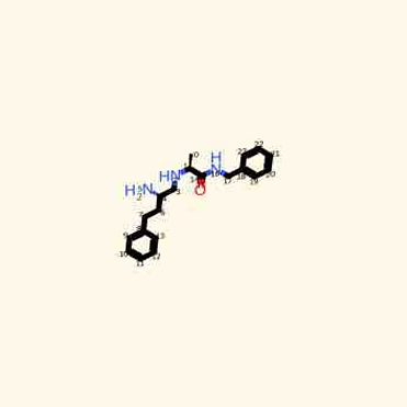 C[C@H](NC[C@H](N)CCc1ccccc1)C(=O)NCc1cc[c]cc1